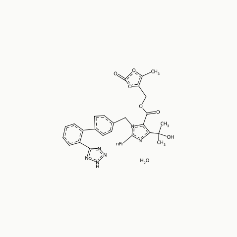 CCCc1nc(C(C)(C)O)c(C(=O)OCc2oc(=O)oc2C)n1Cc1ccc(-c2ccccc2-c2nn[nH]n2)cc1.O